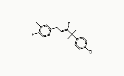 Cc1cc(CC=C(F)C(C)(C)c2ccc(Cl)cc2)ccc1F